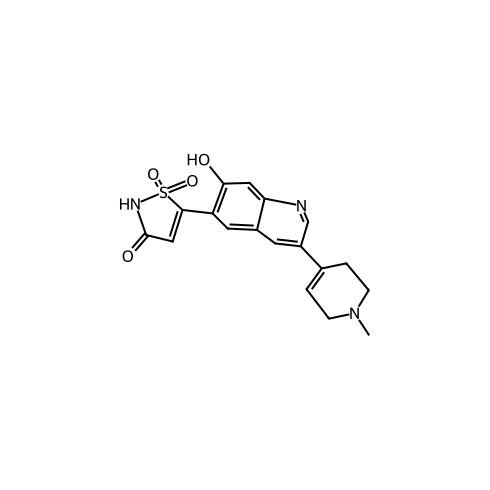 CN1CC=C(c2cnc3cc(O)c(C4=CC(=O)NS4(=O)=O)cc3c2)CC1